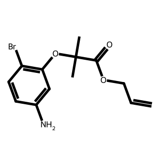 C=CCOC(=O)C(C)(C)Oc1cc(N)ccc1Br